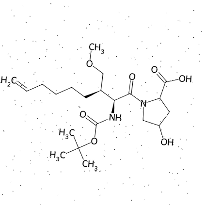 C=CCCCC[C@@H](COC)[C@H](NC(=O)OC(C)(C)C)C(=O)N1CC(O)CC1C(=O)O